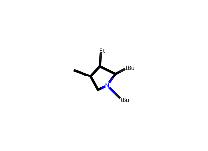 CCC1C(C)CN(C(C)(C)C)C1C(C)(C)C